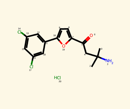 CC(C)(N)CC(=O)c1ccc(-c2cc(Cl)cc(Cl)c2)o1.Cl